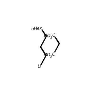 O=C(O)CC(=O)O.[Li][CH2]CCCCCCCC